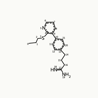 CCCSc1ncccc1-c1ccc(CCCC(=N)N)cc1